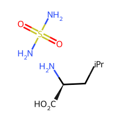 CC(C)C[C@H](N)C(=O)O.NS(N)(=O)=O